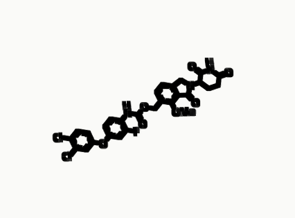 COc1c(COC(=O)Nc2ccc(Oc3ccc(Cl)c(Cl)c3)cc2F)ccc2c1C(=O)N(C1CCC(=O)NC1=O)C2